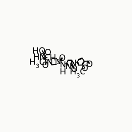 COc1cc(-n2ccc(NC(=O)N3CCN(C(=O)C(C)(C)NC(=O)O)CC3)nc2=O)ccc1C=O